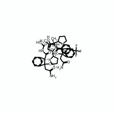 CC1C[C@H](C2CCCN2[C@@]2(C(=O)NC(=O)O)c3cccc(c3)C2(C)CC(N)=O)N(c2ccc(C(F)(F)F)cc2)[C@@]1(C)C1CCCN1[C@@]1(C(=O)NC(=O)O)c2cccc(c2)C1(C)CC(N)=O